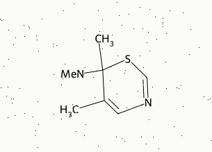 CNC1(C)SC=NC=C1C